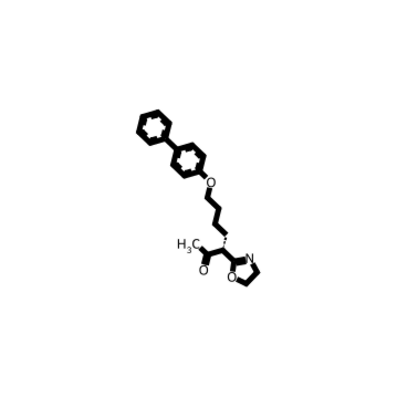 CC(=O)[C@H](CCCCOc1ccc(-c2ccccc2)cc1)C1=NCCO1